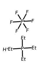 CC[P](CC)(CC)CC.F[P-](F)(F)(F)(F)F.[H+]